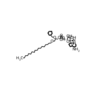 CCCCCCCCCCCCCCCCCCOCC(COP(=O)(O)OC[C@H]1O[C@@](C#N)(c2ccc3c(N)ccnn23)[C@H](O)[C@@H]1O)OCc1ccccc1